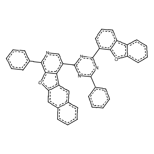 c1ccc(-c2nc(-c3cccc4c3oc3ccccc34)nc(-c3cnc(-c4ccccc4)c4oc5cc6ccccc6cc5c34)n2)cc1